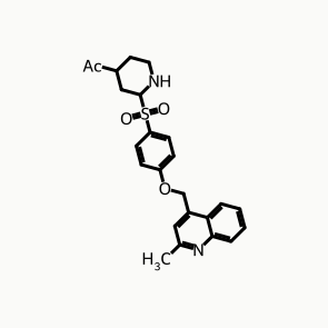 CC(=O)C1CCNC(S(=O)(=O)c2ccc(OCc3cc(C)nc4ccccc34)cc2)C1